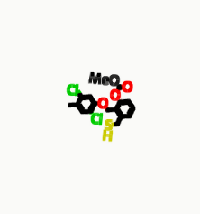 COC(=O)Oc1cccc(CS)c1COc1cc(Cl)c(C)cc1Cl